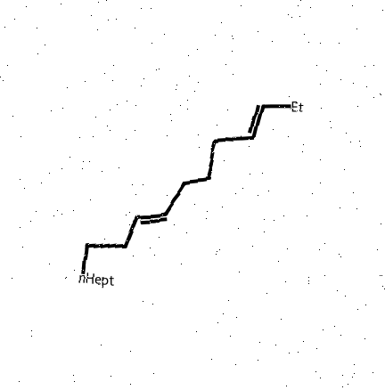 [CH2]CCCCCCCCC=CCCCC=CCC